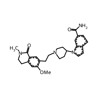 COc1cc2c(cc1CCN1CCC(n3ccc4ccc(C(N)=O)cc43)CC1)C(=O)N(C)CC2